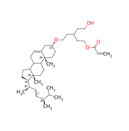 C=CC(=O)OCCC(CCO)CCO[C@H]1CC[C@@]2(C)C(=CCC3C2CC[C@@]2(C)C3CC[C@@H]2[C@H](C)/C=C/[C@H](C)C(C)C)C1